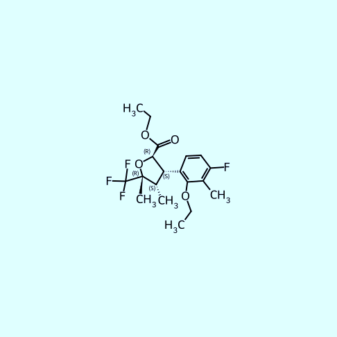 CCOC(=O)[C@@H]1O[C@@](C)(C(F)(F)F)[C@@H](C)[C@H]1c1ccc(F)c(C)c1OCC